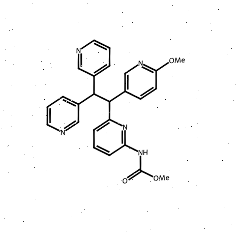 COC(=O)Nc1cccc(C(c2ccc(OC)nc2)C(c2cccnc2)c2cccnc2)n1